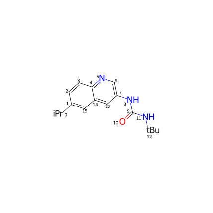 CC(C)c1ccc2ncc(NC(=O)NC(C)(C)C)cc2c1